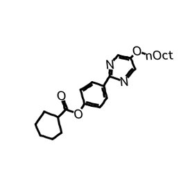 CCCCCCCCOc1cnc(-c2ccc(OC(=O)C3CCCCC3)cc2)nc1